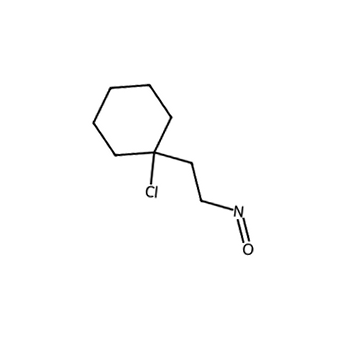 O=NCCC1(Cl)CCCCC1